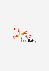 O.O=S(=O)(O)O.[BaH2]